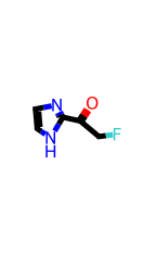 O=C(CF)c1ncc[nH]1